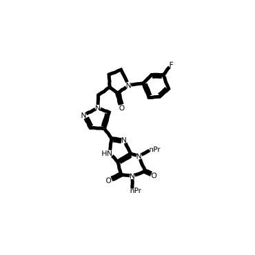 CCCn1c(=O)c2[nH]c(-c3cnn(CC4CCN(c5cccc(F)c5)C4=O)c3)nc2n(CCC)c1=O